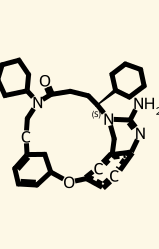 NC1=Nc2ccc3cc2CN1[C@H](C1CCCCC1)CCC(=O)N(C1CCCCC1)CCC1=CC=CC(C1)O3